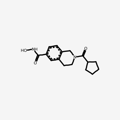 O=C(NO)c1ccc2c(c1)CCN(C(=O)C1CCCC1)C2